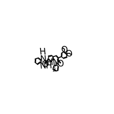 COc1ccc(C(=Cc2ccc(C(=O)Nc3ccccc3N)cc2)C(=O)Nc2ccccc2)cc1OC